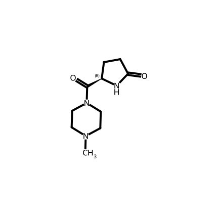 CN1CCN(C(=O)[C@H]2CCC(=O)N2)CC1